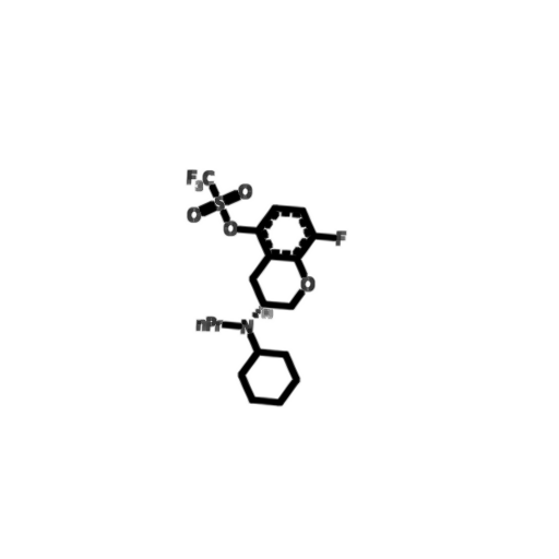 CCCN(C1CCCCC1)[C@H]1COc2c(F)ccc(OS(=O)(=O)C(F)(F)F)c2C1